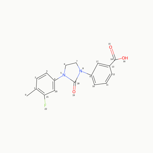 Cc1ccc(N2CCN(c3cccc(C(=O)O)c3)C2=O)cc1F